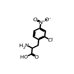 NC(Cc1ccc([N+](=O)[O-])cc1Cl)C(=O)O